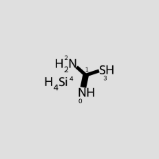 N=C(N)S.[SiH4]